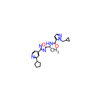 CC(NC(=O)c1ccnn1CC1CC1)c1nc(-c2ccnc(C3CCCC3)c2)no1